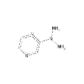 NN(N)c1cnccn1